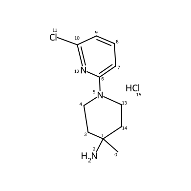 CC1(N)CCN(c2cccc(Cl)n2)CC1.Cl